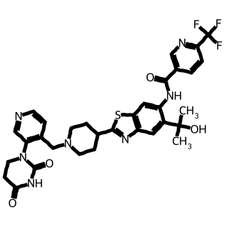 CC(C)(O)c1cc2nc(C3CCN(Cc4ccncc4N4CCC(=O)NC4=O)CC3)sc2cc1NC(=O)c1ccc(C(F)(F)F)nc1